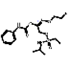 CCCO/N=C(\COP(=O)(CC)NC(C)C)OC(=O)Nc1ccccc1